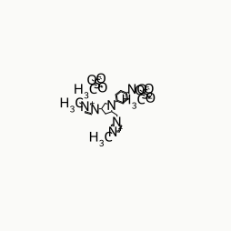 CS(=O)(=O)[O-].CS(=O)(=O)[O-].C[n+]1ccn(CC2CC(n3cc[n+](C)c3)CN2c2ccc([N+](=O)[O-])cc2)c1